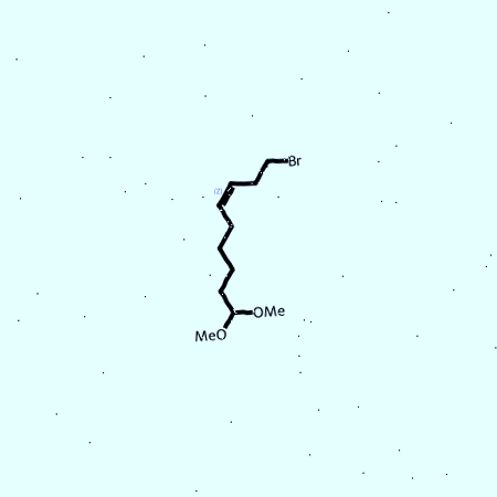 COC(CCCC/C=C\CCBr)OC